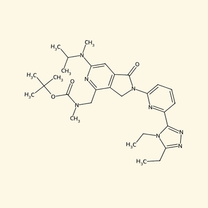 CCc1nnc(-c2cccc(N3Cc4c(cc(N(C)C(C)C)nc4CN(C)C(=O)OC(C)(C)C)C3=O)n2)n1CC